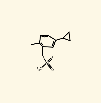 Cc1ccc(C2CC2)cc1OS(=O)(=O)C(F)(F)F